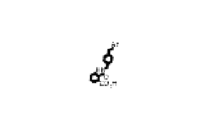 CC(=O)CCc1ccc(CNC(=O)c2ccccc2C(=O)O)cc1